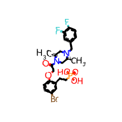 C[C@@H]1CN(Cc2ccc(F)c(F)c2)[C@@H](C)CN1C(=O)COc1ccc(Br)cc1CCP(=O)(O)O